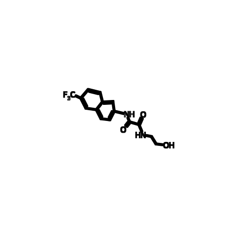 O=C(NCCO)C(=O)Nc1ccc2cc(C(F)(F)F)ccc2c1